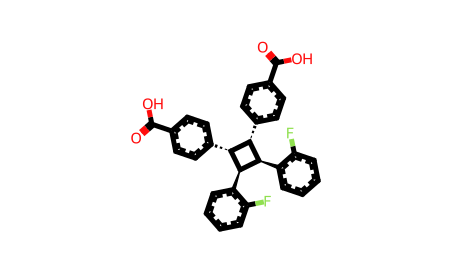 O=C(O)c1ccc([C@@H]2[C@H](c3ccc(C(=O)O)cc3)[C@@H](c3ccccc3F)[C@H]2c2ccccc2F)cc1